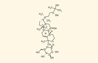 C[C@H](CC[C@@H](O)C(C)(C)O)[C@H]1CC[C@@]2(C)[C@@H]3CC=C4[C@@H](CC[C@H](O[C@@H]5O[C@H](CO)[C@@H](O)[C@H](O)[C@H]5O)C4(C)C)[C@]3(C)[C@H](O)C[C@]12C